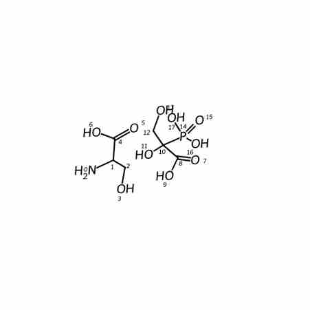 NC(CO)C(=O)O.O=C(O)C(O)(CO)P(=O)(O)O